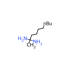 [CH2]C(N)(N)CCCCCCCC